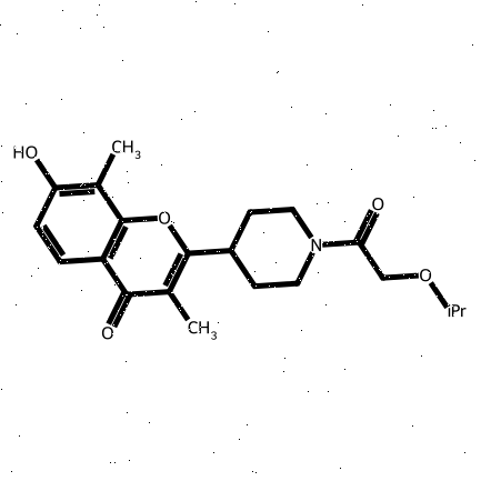 Cc1c(C2CCN(C(=O)COC(C)C)CC2)oc2c(C)c(O)ccc2c1=O